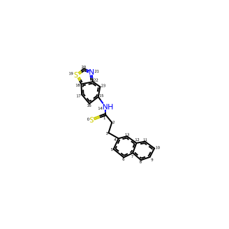 S=C(CCc1ccc2ccccc2c1)Nc1ccc2scnc2c1